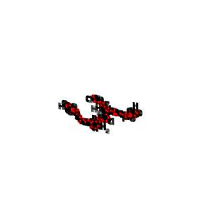 Nc1nccn2c(N3CCC4(CC3)CN(CC3CN(c5ccc6c(c5)C(=O)N(C5CCC(=O)NC5=O)C6=O)C3)C4)nc(-c3ccc(C(=O)Nc4cc(Cl)cc(-c5cn6c(N7CCC8(CC7)CN(C7CN(c9cc%10c(cc9F)C(=O)N(C9CCC(=O)NC9=O)C%10=O)C7)C8)nc(-c7ccc(C(=O)Nc8cc(Cl)ccn8)cc7F)c6c(N)n5)n4)cc3F)c12